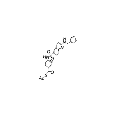 CC(=O)SCC(=O)c1ccc(NS(=O)(=O)c2ccc3nc(NCc4ccccc4)ccc3c2)nc1